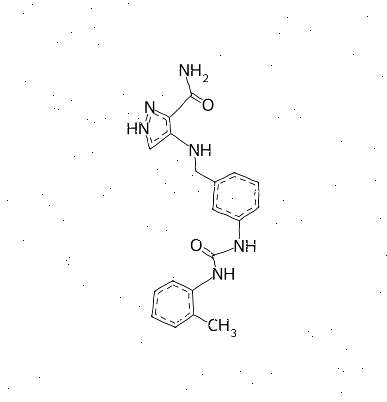 Cc1ccccc1NC(=O)Nc1cccc(CNc2c[nH]nc2C(N)=O)c1